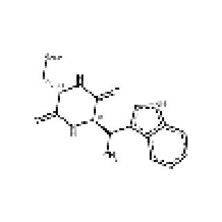 CSC[C@@H]1NC(=O)[C@@H](C(C)c2c[nH]c3ccccc23)NC1=O